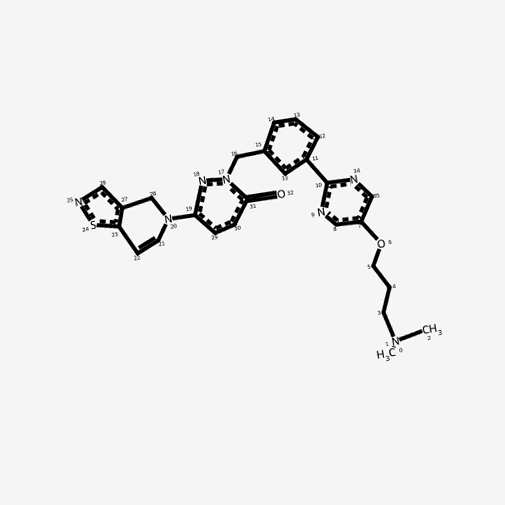 CN(C)CCCOc1cnc(-c2cccc(Cn3nc(N4C=Cc5sncc5C4)ccc3=O)c2)nc1